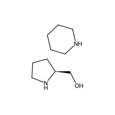 C1CCNCC1.OC[C@@H]1CCCN1